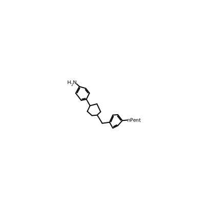 CCCCCc1ccc(CC2CCC(c3ccc(N)cc3)CC2)cc1